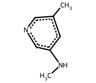 CNc1[c]ncc(C)c1